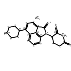 Cl.O=C1CCC(N2C(=O)c3ccc(C4CCNCC4)c4cccc2c34)C(=O)N1